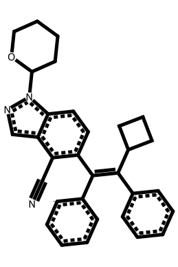 N#Cc1c(/C(=C(/c2ccccc2)C2CCC2)c2[c]cccc2)ccc2c1cnn2C1CCCCO1